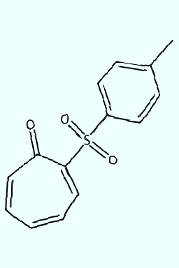 Cc1ccc(S(=O)(=O)c2cccccc2=O)cc1